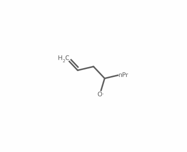 C=CCC([O])CCC